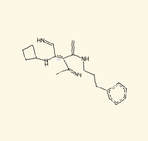 C=C(NCCCc1ccccc1)/C(C(C)=N)=C(\C=N)NC1CCC1